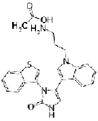 CC(=O)O.NCCCn1cc(-c2c[nH]c(=O)n2-c2csc3ccccc23)c2ccccc21